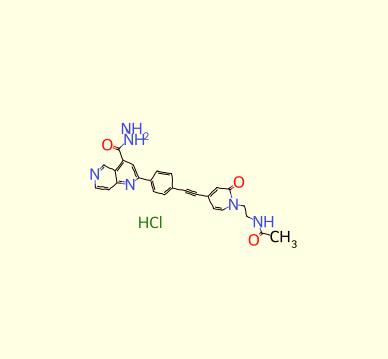 CC(=O)NCCn1ccc(C#Cc2ccc(-c3cc(C(=O)NN)c4cnccc4n3)cc2)cc1=O.Cl